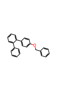 c1ccc(COc2ccc(-c3ccccc3-c3ccccc3)cc2)cc1